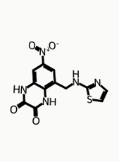 O=c1[nH]c2cc([N+](=O)[O-])cc(CNc3nccs3)c2[nH]c1=O